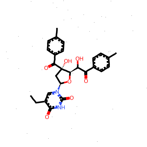 CCc1cn([C@H]2C[C@@](O)(C(=O)c3ccc(C)cc3)[C@@H](C(O)C(=O)c3ccc(C)cc3)O2)c(=O)[nH]c1=O